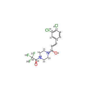 O=C(/C=C/c1ccc(Cl)c(Cl)c1)N1CCN(C(=O)C(F)(F)F)CC1